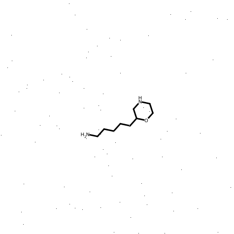 NCCCCCC1CNCCO1